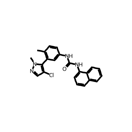 Cc1ccc(NC(=O)Nc2cccc3ccccc23)cc1-c1c(Cl)cnn1C